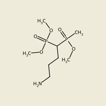 COP(C)(=O)C(CCCN)P(=O)(OC)OC